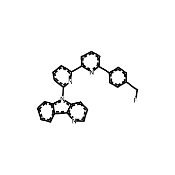 FCc1ccc(-c2cccc(-c3cccc(-n4c5ccccc5c5ncccc54)n3)n2)cc1